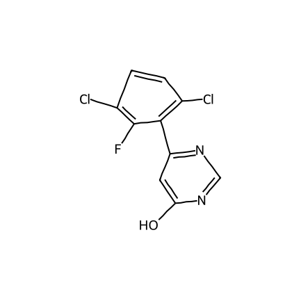 Oc1cc(-c2c(Cl)ccc(Cl)c2F)ncn1